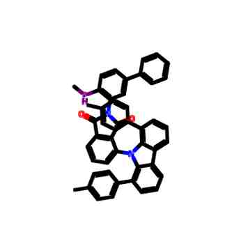 CPc1ccc(-c2ccccc2)cc1N1C(=O)c2cccc(-n3c4c(-c5ccc(C)cc5)cccc4c4cccc(-c5ccc(C)cc5)c43)c2C1=O